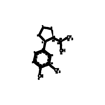 N#Cc1ccc(N2CCC[C@@H]2[C@H](O)C(F)(F)F)cc1C(F)(F)F